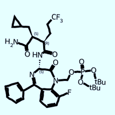 CC(C)(C)OP(=O)(OCN1C(=O)[C@@H](NC(=O)[C@H](CCC(F)(F)F)[C@H](CC2CC2)C(N)=O)N=C(c2ccccc2)c2cccc(F)c21)OC(C)(C)C